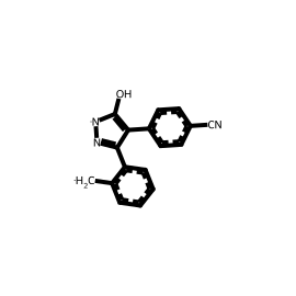 [CH2]c1ccccc1C1=N[N]C(O)=C1c1ccc(C#N)cc1